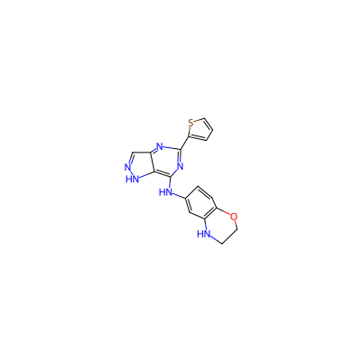 c1csc(-c2nc(Nc3ccc4c(c3)NCCO4)c3[nH]ncc3n2)c1